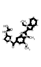 CCn1c(-c2nc3cc(C(=O)N4CCC(NC(=O)O)C4)cc(OC)c3n2C)cc2ccccc21